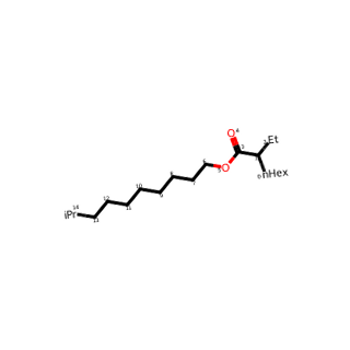 CCCCCCC(CC)C(=O)OCCCCCCCCC(C)C